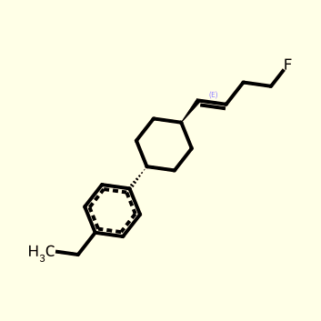 CCc1ccc([C@H]2CC[C@H](/C=C/CCF)CC2)cc1